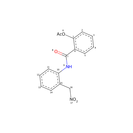 CC(=O)Oc1ccccc1C(=O)Nc1ccccc1C[N+](=O)[O-]